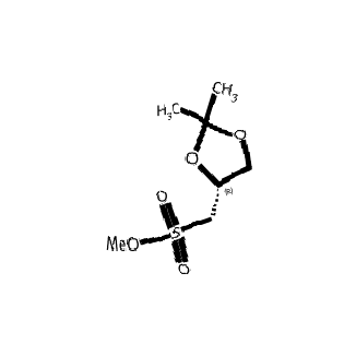 COS(=O)(=O)C[C@H]1COC(C)(C)O1